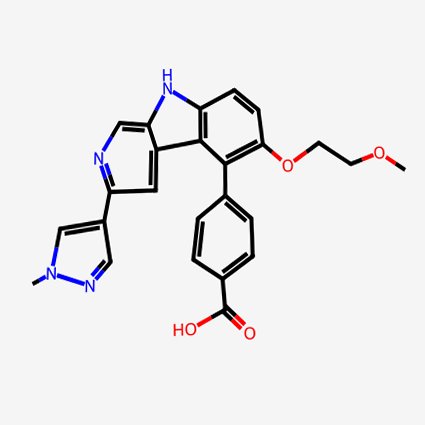 COCCOc1ccc2[nH]c3cnc(-c4cnn(C)c4)cc3c2c1-c1ccc(C(=O)O)cc1